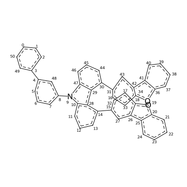 c1ccc(-c2cccc(-n3c4cccc(-c5ccc6oc7ccccc7c6c5)c4c4c(-c5ccc6oc7ccccc7c6c5)cccc43)c2)cc1